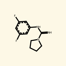 N=C(Nc1cc(F)cc(F)c1)N1CCCC1